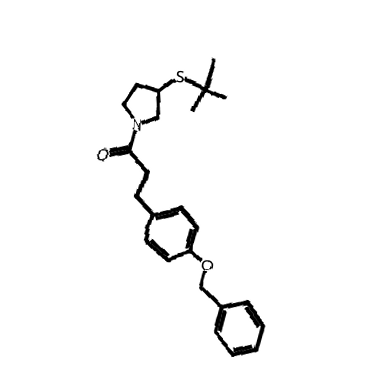 CC(C)(C)SC1CCN(C(=O)CCc2ccc(OCc3ccccc3)cc2)C1